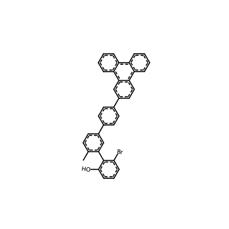 Cc1ccc(-c2ccc(-c3ccc4c5ccccc5c5ccccc5c4c3)cc2)cc1-c1c(O)cccc1Br